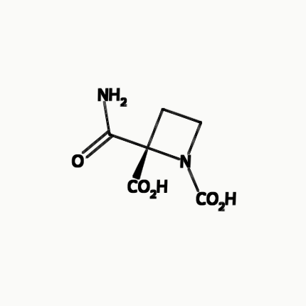 NC(=O)[C@]1(C(=O)O)CCN1C(=O)O